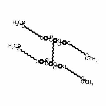 C=CC(=O)OCCCCCCCCCCCOc1ccc(C(=O)Oc2ccc(OC(=O)c3ccc(OCCCCCCCCCCCOC(=O)C=C)cc3)c(CCCCCCCCCCc3cc(OC(=O)c4ccc(OCCCCCCCCCCCOC(=O)C=C)cc4)ccc3OC(=O)c3ccc(OCCCCCCCCCCCOC(=O)C=C)cc3)c2)cc1